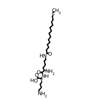 CCCCCCCCCCCCCCCC(=O)NCCCC[C@H](N)C(=O)N[C@@H](CCCCN)C(=O)O